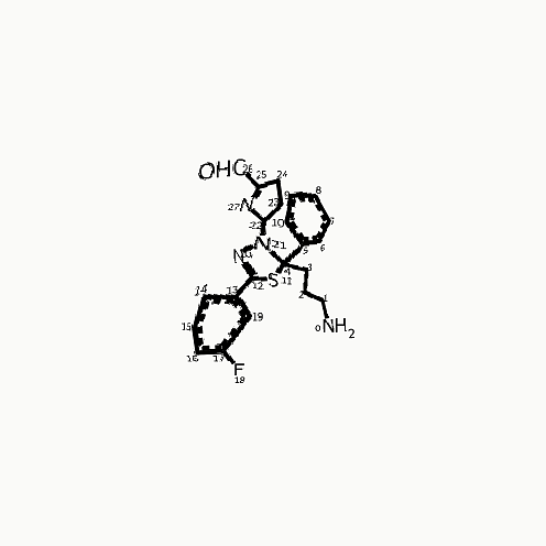 NCCCC1(c2ccccc2)SC(c2cccc(F)c2)=NN1C1CCC(C=O)=N1